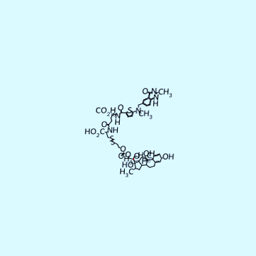 Cc1nc(=O)c2cc(CN(C)c3ccc(C(=O)N[C@@H](CCC(=O)NC(CSSCCOC(=O)OCC(=O)C4(O)C(C)CC5C6CCC7=CC(O)C=CC7(C)[C@@]6(F)C(O)CC54C)C(=O)O)C(=O)O)s3)ccc2[nH]1